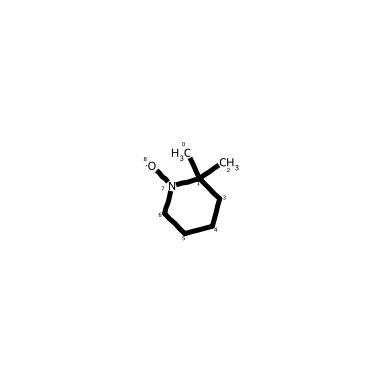 CC1(C)CCCCN1[O]